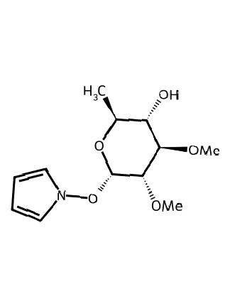 CO[C@@H]1[C@H](On2cccc2)O[C@@H](C)[C@H](O)[C@H]1OC